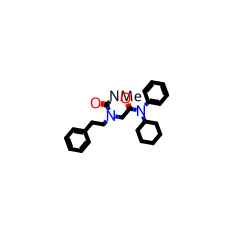 CNC(=O)N(CCc1ccccc1)CC(=O)N(c1ccccc1)C1CCCCC1